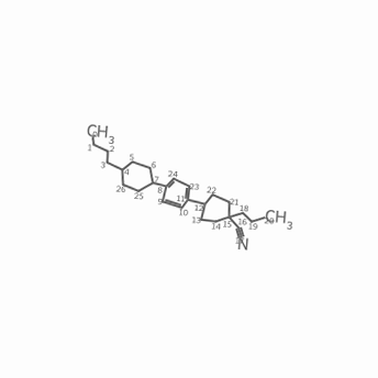 CCCCC1CCC(c2ccc(C3CCC(C#N)(CCC)CC3)cc2)CC1